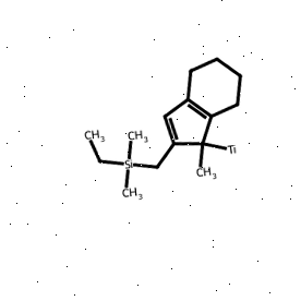 CC[Si](C)(C)CC1=CC2=C(CCCC2)[C]1(C)[Ti]